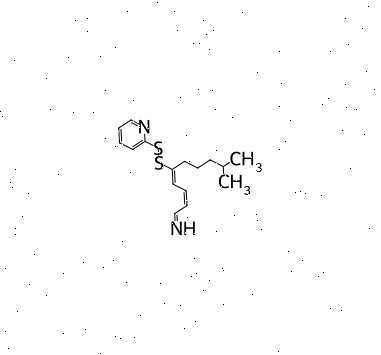 CC(C)CCC/C(=C\C=C/C=N)SSc1ccccn1